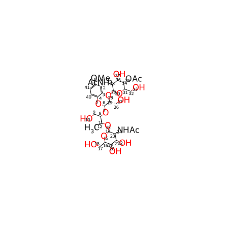 COc1ccc(O[C@@H](OC(CO)[C@H](C)O[C@@H]2OC(CO)[C@@H](O)C(O)[C@@H]2NC(C)=O)[C@@H](CO)O[C@@H]2OC(CO)[C@@H](OC(C)=O)C(O)C2NC(C)=O)cc1